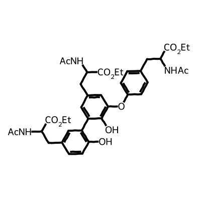 CCOC(=O)C(Cc1ccc(Oc2cc(CC(NC(C)=O)C(=O)OCC)cc(-c3cc(CC(NC(C)=O)C(=O)OCC)ccc3O)c2O)cc1)NC(C)=O